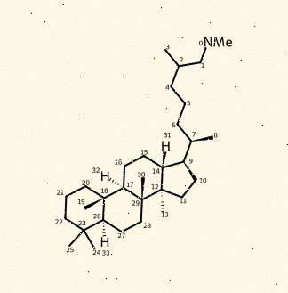 CNCC(C)CCC[C@@H](C)[C@H]1CC[C@]2(C)[C@@H]1CC[C@@H]1[C@@]3(C)CCCC(C)(C)[C@@H]3CC[C@]12C